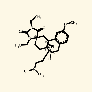 CCN1C(=O)N(CC)[C@]2(CC[C@@]3(O)[C@H]4Cc5ccc(OC)cc5[C@@]3(CCN4CCN(C)C)C2)C1=O